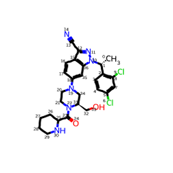 C[C@H](c1ccc(Cl)cc1Cl)n1nc(C#N)c2ccc(N3CCN(C(=O)C4CCCCN4)[C@H](CO)C3)cc21